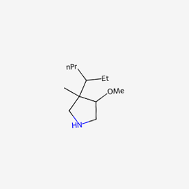 CCCC(CC)C1(C)CNCC1OC